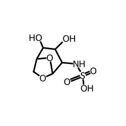 O=S(=O)(O)NC1C2OCC(O2)C(O)C1O